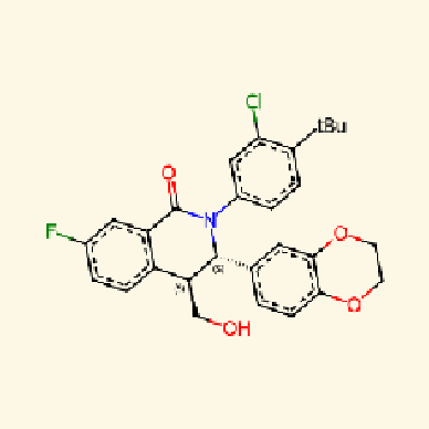 CC(C)(C)c1ccc(N2C(=O)c3cc(F)ccc3[C@H](CO)[C@H]2c2ccc3c(c2)OCCO3)cc1Cl